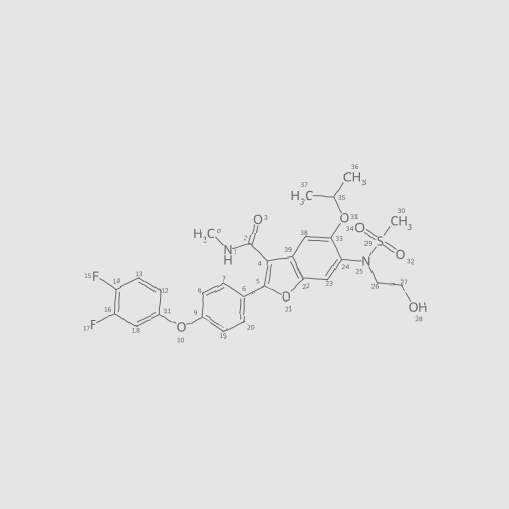 CNC(=O)c1c(-c2ccc(Oc3ccc(F)c(F)c3)cc2)oc2cc(N(CCO)S(C)(=O)=O)c(OC(C)C)cc12